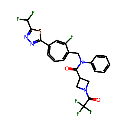 O=C(C1CN(C(=O)C(F)(F)F)C1)N(CC1=CC=C=C(c2nnc(C(F)F)s2)C=C1F)c1ccccc1